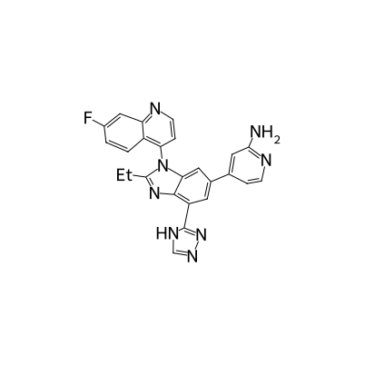 CCc1nc2c(-c3nnc[nH]3)cc(-c3ccnc(N)c3)cc2n1-c1ccnc2cc(F)ccc12